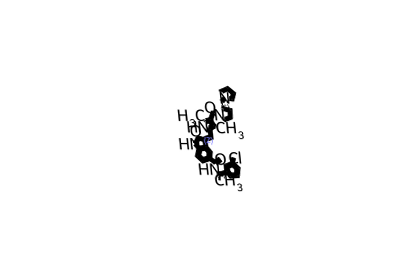 Cc1[nH]c(/C=C2\C(=O)Nc3ccc(C(=O)N[C@H](C)c4cccc(Cl)c4)cc32)c(C)c1C(=O)N1CCC[C@H]1CN1CCCC1